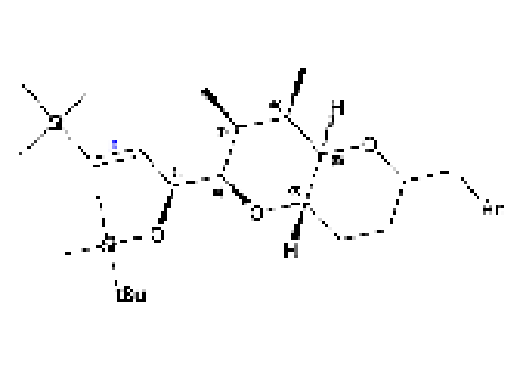 CC(=O)CC1CC[C@@H]2O[C@@H]([C@H](/C=C/[Si](C)(C)C)O[Si](C)(C)C(C)(C)C)[C@@H](C)[C@@H](C)[C@H]2O1